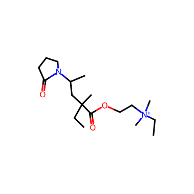 CCC(C)(CC(C)N1CCCC1=O)C(=O)OCC[N+](C)(C)CC